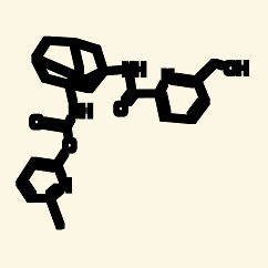 Cc1cccc(OC(=O)NC23CC4CC(C2)CC(NC(=O)c2cccc(CO)n2)(C4)C3)n1